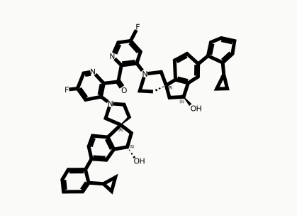 O=C(c1ncc(F)cc1N1CC[C@]2(C[C@H](O)c3cc(-c4ccccc4C4CC4)ccc32)C1)c1ncc(F)cc1N1CC[C@]2(C[C@H](O)c3cc(-c4ccccc4C4CC4)ccc32)C1